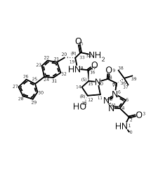 CNC(=O)c1cn([C@H](C(=O)N2C[C@H](O)C[C@H]2C(=O)N[C@H](Cc2ccc(-c3ccccc3)cc2)C(N)=O)C(C)(C)C)nn1